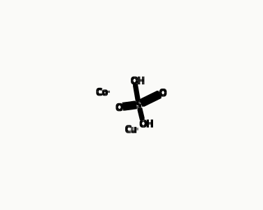 O=S(=O)(O)O.[Co].[Cu]